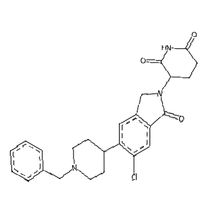 O=C1CCC(N2Cc3cc(C4CCN(Cc5ccccc5)CC4)c(Cl)cc3C2=O)C(=O)N1